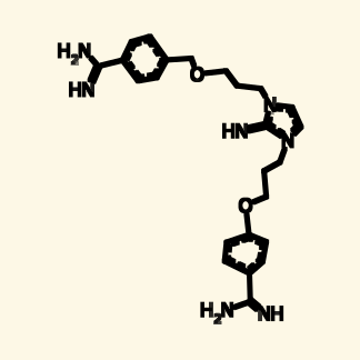 N=C(N)c1ccc(COCCCn2ccn(CCCOc3ccc(C(=N)N)cc3)c2=N)cc1